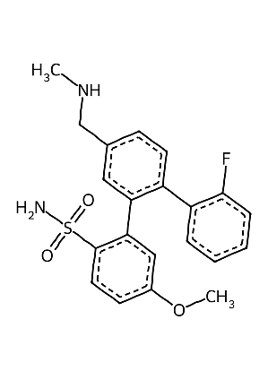 CNCc1ccc(-c2ccccc2F)c(-c2cc(OC)ccc2S(N)(=O)=O)c1